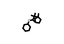 CC12CCC(C1)C(OC1CCCCC1)C2(C)C